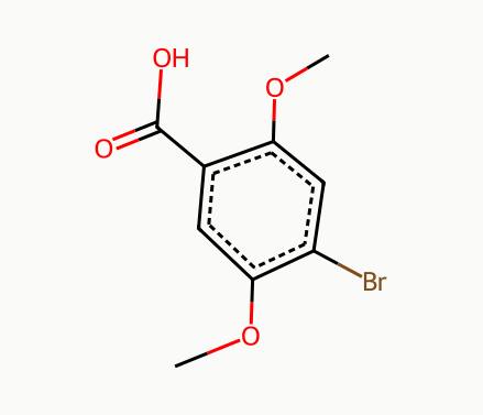 COc1cc(C(=O)O)c(OC)cc1Br